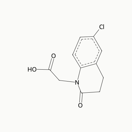 O=C(O)CN1C(=O)CCc2cc(Cl)ccc21